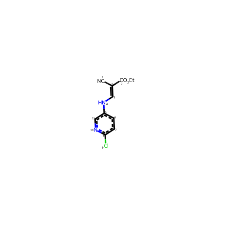 CCOC(=O)/C(C#N)=C/Nc1ccc(Cl)nc1